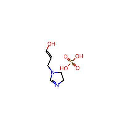 O=S(=O)(O)O.OC=CCN1C=NCC1